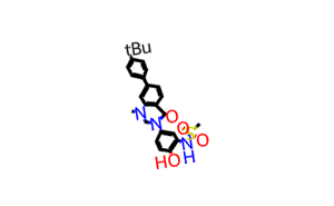 CN1CN(c2ccc(O)c(NS(C)(=O)=O)c2)C(=O)c2ccc(-c3ccc(C(C)(C)C)cc3)cc21